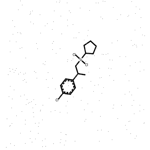 CC(C[Si](Cl)(Cl)C1CCCC1)c1ccc(Cl)cc1